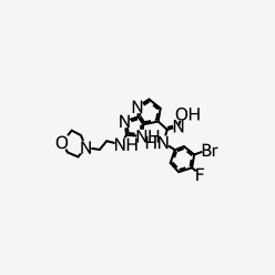 O/N=C(/Nc1ccc(F)c(Br)c1)c1ccnc2nc(NCCN3CCOCC3)[nH]c12